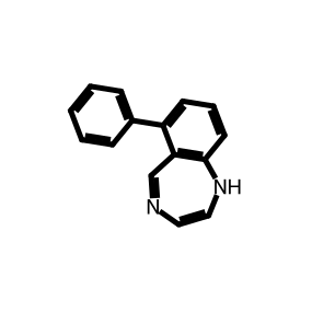 C1=CNc2cccc(-c3ccccc3)c2C=N1